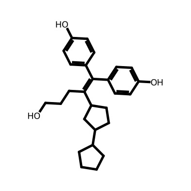 OCCCC(=C(c1ccc(O)cc1)c1ccc(O)cc1)C1CCC(C2CCCC2)C1